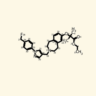 CCOC(=O)C(C)(C)Oc1ccc2c(c1)CCN(Cc1cnn(-c3ccc(CF)cc3)c1)CC2